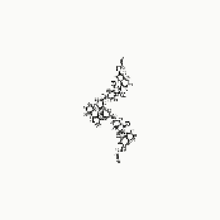 C#CCOc1ccc2c(N3C(=O)c4ccc(Oc5ccc(C6(c7ccc(Oc8ccc9c(c8)C(=O)N(c8cccc%10cc(OCC#C)ccc8%10)C9=O)cc7)c7ccccc7-c7ccccc76)cc5)cc4C3=O)cccc2c1